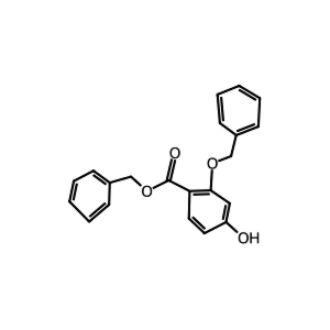 O=C(OCc1ccccc1)c1ccc(O)cc1OCc1ccccc1